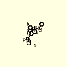 Cn1nc(C2CC3CSC(NC(=O)c4ccccc4)=NC3(c3ccc(F)cc3F)CO2)cc1F